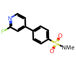 CNS(=O)(=O)c1ccc(-c2ccnc(F)c2)cc1